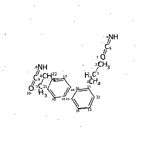 C.CC.CC.N=C=O.N=C=O.c1ccccc1.c1ccccc1